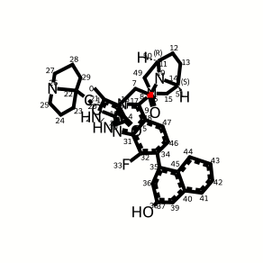 Cc1[nH][nH]c(=O)c1CC(=O)N1[C@@H]2CC[C@H]1CN(c1nc(OCC34CCCN3CCC4)nc3c(F)c(-c4cc(O)cc5ccccc45)ccc13)C2